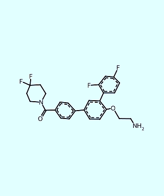 NCCOc1ccc(-c2ccc(C(=O)N3CCC(F)(F)CC3)cc2)cc1-c1ccc(F)cc1F